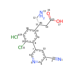 Cl.N#Cc1cncc(-c2cc([C@H](CN)CC(=O)O)ccc2Cl)c1